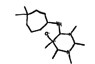 CC1N(C)C(C)[N+](C)([O-])C(NC2CCCC(C)(C)CC2)N1C